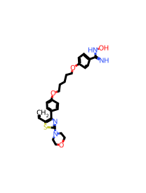 C=Cc1sc(N2CCOCC2)nc1-c1ccc(OCCCCCOc2ccc(C(=N)NO)cc2)cc1